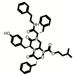 CC(C)CCOC(=O)N1O[C@H](Cc2ccccc2)C(=O)N2C1CN([C@@H](Cc1ccccc1)C(=O)NCCc1ccccc1)C(=O)[C@@H]2Cc1ccc(O)cc1